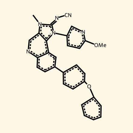 COc1ccc(-n2/c(=N\C#N)n(C)c3cnc4ccc(-c5ccc(Oc6ccccc6)cc5)cc4c32)cn1